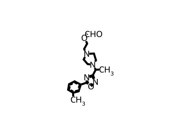 Cc1cccc(-c2nc(C(C)N3CCN(CCOC=O)CC3)no2)c1